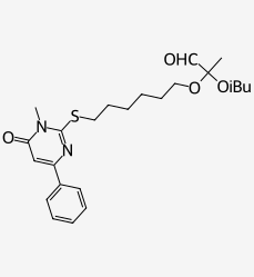 CC(C)COC(C)(C=O)OCCCCCCSc1nc(-c2ccccc2)cc(=O)n1C